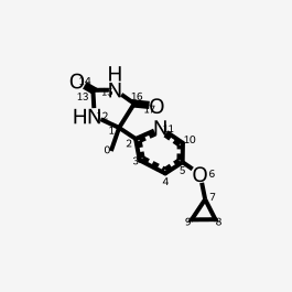 CC1(c2ccc(OC3CC3)cn2)NC(=O)NC1=O